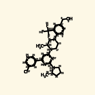 C[C@H]1CN(c2ncc(CO)cc2C(F)(F)F)CCN1c1cc(-c2cncc(Cl)c2)nc(N2CCC[C@@H]2C)n1